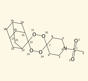 CS(=O)(=O)N1CCC2(CC1)OOC1(OO2)C2CC3CC(C2)CC1C3